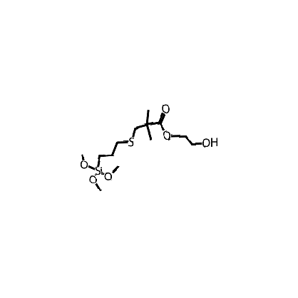 CO[Si](CCCSCC(C)(C)C(=O)OCCO)(OC)OC